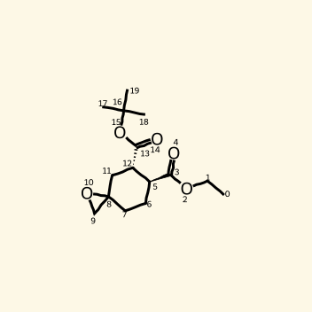 CCOC(=O)[C@H]1CCC2(CO2)C[C@@H]1C(=O)OC(C)(C)C